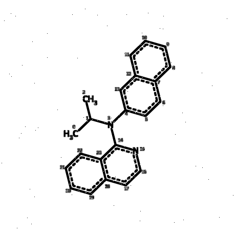 CC(C)N(c1ccc2ccccc2c1)c1nccc2ccccc12